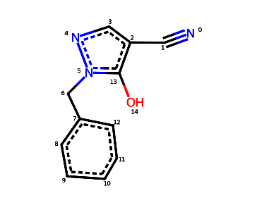 N#Cc1cnn(Cc2ccccc2)c1O